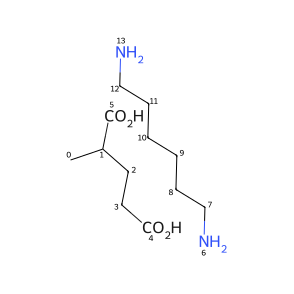 CC(CCC(=O)O)C(=O)O.NCCCCCCN